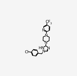 FC(F)(F)c1ccc(N2CCN(C3N=CN(Cc4ccc(Cl)cc4)N3)CC2)nc1